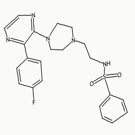 O=S(=O)(NCCN1CCN(c2nccnc2-c2ccc(F)cc2)CC1)c1ccccc1